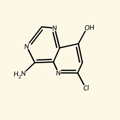 Nc1ncnc2c(O)cc(Cl)nc12